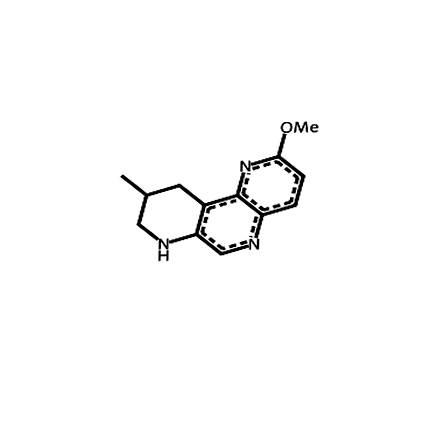 COc1ccc2ncc3c(c2n1)CC(C)CN3